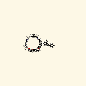 CO[C@H]1C[C@@H]2CC[C@@H](C)[C@@](O)(O2)C(=O)C(=O)N2CCCC[C@H]2C(=O)O[C@H]([C@H](C)C[C@@H]2CC[C@@H](OC(=O)c3ccccc3)[C@H](OC)C2)CC(=O)[C@H](C)/C=C(\C)[C@@H](O)[C@@H](OC)C(=O)[C@H](C)C[C@H](C)/C=C/C=C/C=C/1C